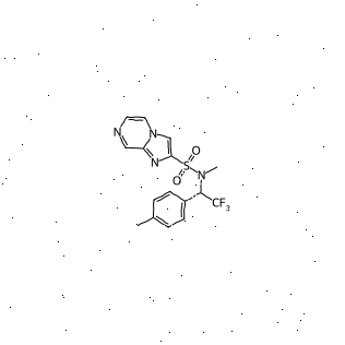 Cc1ccc(C(N(C)S(=O)(=O)c2cn3ccncc3n2)C(F)(F)F)cc1